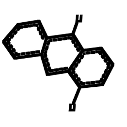 [Li][c]1cccc2[c]([Li])c3ccccc3cc12